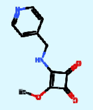 CCOc1c(NCc2ccncc2)c(=O)c1=O